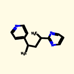 CC(CC(C)c1ncccn1)c1ccncc1